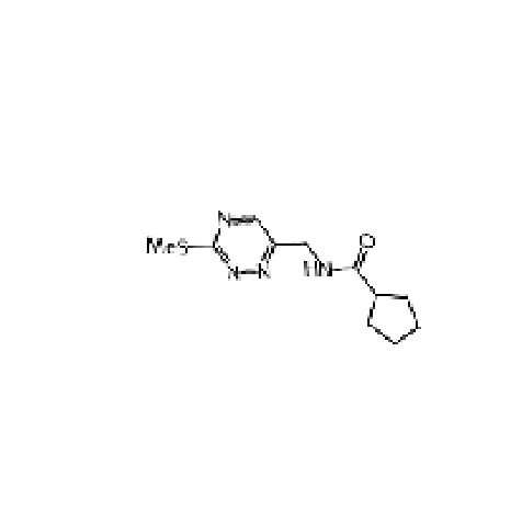 CSc1ncc(CNC(=O)C2CCCC2)nn1